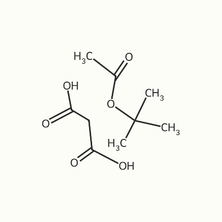 CC(=O)OC(C)(C)C.O=C(O)CC(=O)O